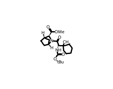 COC(=O)[C@@H]1[C@H]2CC[C@H](C2)N1C(=O)[C@@H](NC(=O)OC(C)(C)C)C1(C)CCCCC1